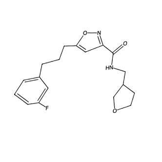 O=C(NCC1CCOC1)c1cc(CCCc2cccc(F)c2)on1